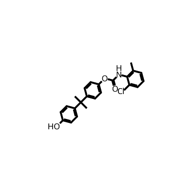 Cc1cccc(Cl)c1NC(=O)Oc1ccc(C(C)(C)c2ccc(O)cc2)cc1